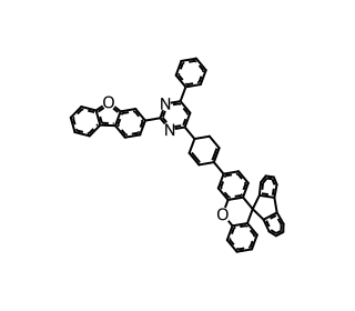 C1=CC(c2cc(-c3ccccc3)nc(-c3ccc4c(c3)oc3ccccc34)n2)CC=C1c1ccc2c(c1)Oc1ccccc1C21c2ccccc2-c2ccccc21